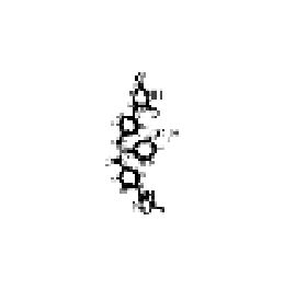 Cc1nc(-c2ccc(C(=O)N(Cc3ccc(C4SC(=O)NC4=O)cc3)c3cccc(C(=O)O)c3)cc2)no1